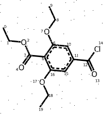 CCOC(=O)c1c(OCC)cc(C(=O)Cl)cc1OCC